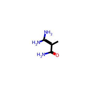 CC(C(N)=O)=C(N)N